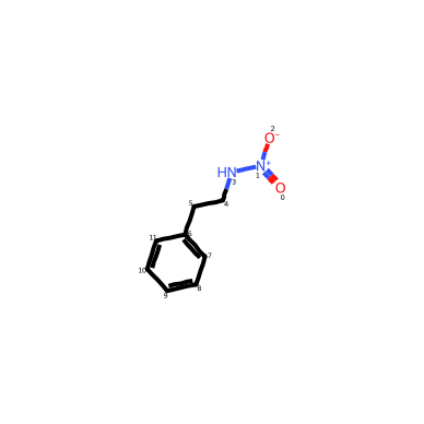 O=[N+]([O-])NCCc1ccccc1